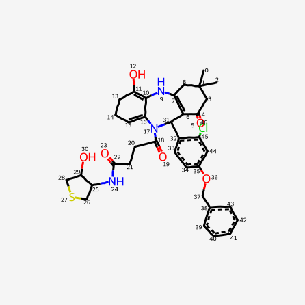 CC1(C)CC(=O)C2=C(C1)NC1=C(O)CCC=C1N(C(=O)CCC(=O)NC1CSCC1O)C2c1ccc(OCc2ccccc2)cc1Cl